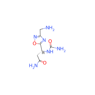 NCc1noc([C@@H](CC(N)=O)NC(N)=O)n1